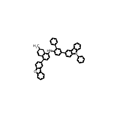 CC1C=Cc2c(-c3ccc4oc5ccccc5c4c3)ccc(Nc3ccc(-c4ccc5c(c4)c4ccccc4n5-c4ccccc4)cc3-c3ccccc3)c2C1